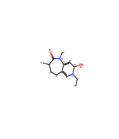 CCN1C=C2CCC(I)C(=O)N(C)C2=CC1O